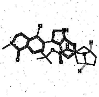 Cn1ccc2c(Cl)c(-c3c[nH]c4nc(N5[C@@H]6CC[C@H]5C[C@@H](NC(=O)OC(C)(C)C)C6)cnc34)ccc2c1=O